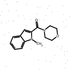 Cn1c(C(=O)N2CCOCC2)cc2ccccc21